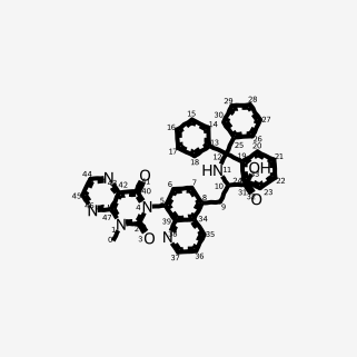 Cn1c(=O)n(-c2ccc(CC(NC(c3ccccc3)(c3ccccc3)c3ccccc3)C(=O)O)c3cccnc23)c(=O)c2nccnc21